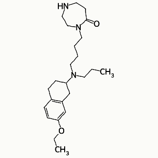 CCCN(CCCCN1CCNCCC1=O)C1CCc2ccc(OCC)cc2C1